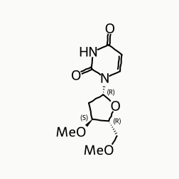 COC[C@H]1O[C@@H](n2ccc(=O)[nH]c2=O)C[C@@H]1OC